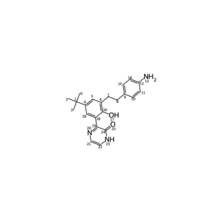 CC(C)(C)c1cc(CCc2ccc(N)cc2)c(O)c(-c2ncc[nH]c2=O)c1